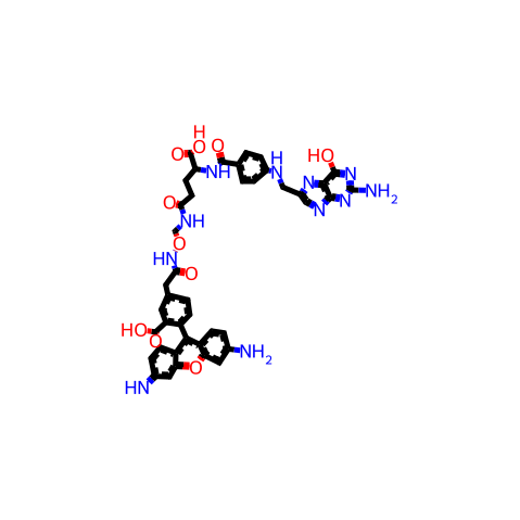 N=c1ccc2c(-c3ccc(CC(=O)NOCNC(=O)CCC(NC(=O)c4ccc(NCc5cnc6nc(N)nc(O)c6n5)cc4)C(=O)O)cc3C(=O)O)c3ccc(N)cc3oc-2c1